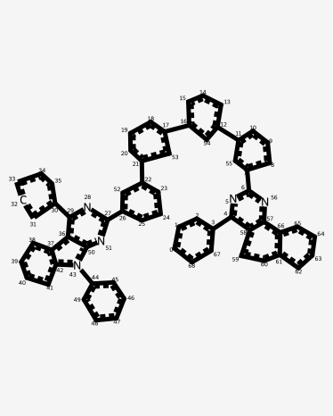 c1ccc(-c2nc(-c3cccc(-c4cccc(-c5cccc(-c6cccc(-c7nc(-c8ccccc8)c8c9ccccc9n(-c9ccccc9)c8n7)c6)c5)c4)c3)nc3c2ccc2ccccc23)cc1